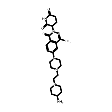 Cc1nn(C2CCC(=O)NC2=O)c(=O)c2ccc(N3CCN(CCN4CCC(N)CC4)CC3)cc12